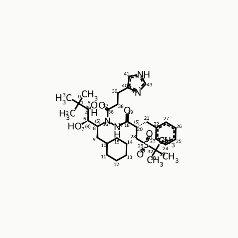 CC(C)(C)[C@H](O)[C@H](O)[C@H](CC1CCCCC1)N(NC(=O)[C@H](Cc1ccccc1)CS(=O)(=O)C(C)(C)C)C(=O)CCc1c[nH]cn1